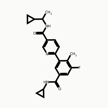 Cc1c(F)cc(C(=O)NC2CC2)cc1-c1ccc(C(=O)NC(C)C2CC2)cn1